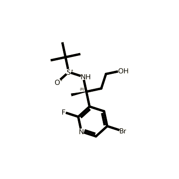 CC(C)(C)[S+]([O-])N[C@](C)(CCO)c1cc(Br)cnc1F